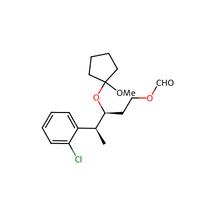 COC1(O[C@@H](CCOC=O)[C@@H](C)c2ccccc2Cl)CCCC1